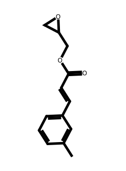 Cc1cccc(/C=C/C(=O)OCC2CO2)c1